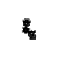 CCC(CN(C)C(=O)OC(C)(C)C)c1cccc(B2OC(C)(C)C(C)(C)O2)c1